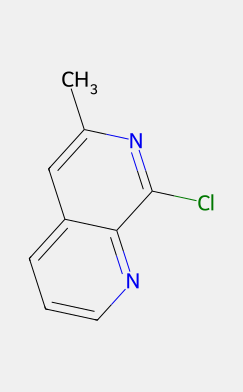 Cc1cc2cccnc2c(Cl)n1